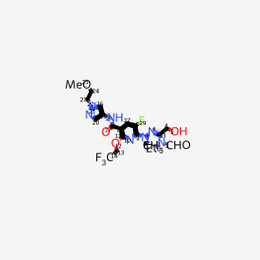 CCN(C=O)/C(CO)=N\N(C)c1nc(OCC(F)(F)F)c(C(=O)Nc2cnn(CCOC)c2)cc1F